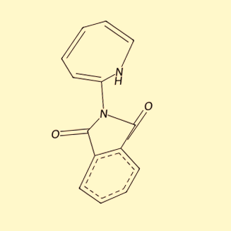 O=C1c2ccccc2C(=O)N1C1=CC=CC=CN1